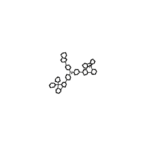 c1ccc(C2(c3ccccc3)c3ccccc3-c3ccc(-c4ccc(N(c5ccc(-c6ccc(-c7ccccc7-n7c8ccccc8c8ccccc87)cc6)cc5)c5ccc(-c6ccc7ccccc7c6)cc5)cc4)cc32)cc1